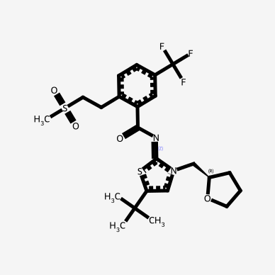 CC(C)(C)c1cn(C[C@H]2CCCO2)/c(=N/C(=O)c2cc(C(F)(F)F)ccc2CCS(C)(=O)=O)s1